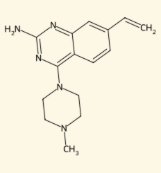 C=Cc1ccc2c(N3CCN(C)CC3)nc(N)nc2c1